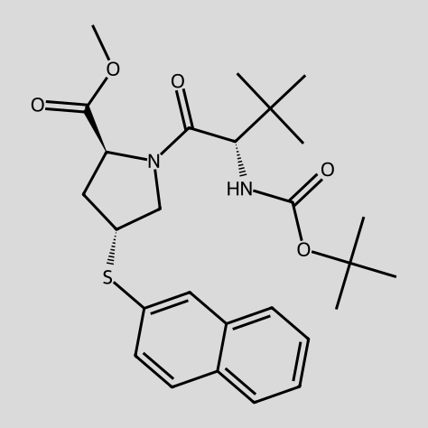 COC(=O)[C@@H]1C[C@@H](Sc2ccc3ccccc3c2)CN1C(=O)[C@@H](NC(=O)OC(C)(C)C)C(C)(C)C